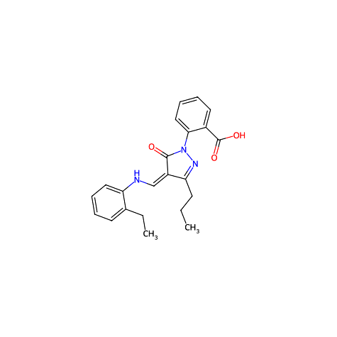 CCCC1=NN(c2ccccc2C(=O)O)C(=O)C1=CNc1ccccc1CC